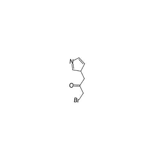 O=C(CBr)CC1C=CN=C1